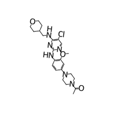 COc1cc(N2CCN(C(C)=O)CC2)ccc1Nc1ncc(Cl)c(NCC2CCOCC2)n1